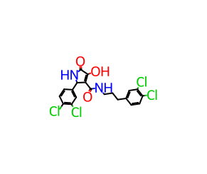 O=C1NC(c2ccc(Cl)c(Cl)c2)C(C(=O)NCCCc2ccc(Cl)c(Cl)c2)=C1O